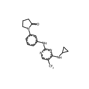 O=C1CCCN1c1cccc(Nc2ncc(C(F)(F)F)c(NC3CC3)n2)c1